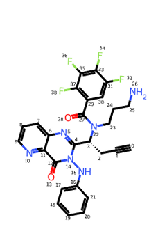 C#CC[C@H](c1nc2cccnc2c(=O)n1Nc1ccccc1)N(CCCN)C(=O)c1cc(F)c(F)c(F)c1F